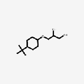 CC(C)(C)C1CCC(OCC(O)CO)CC1